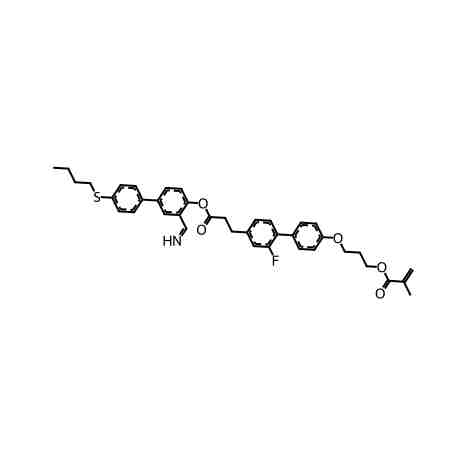 C=C(C)C(=O)OCCCOc1ccc(-c2ccc(CCC(=O)Oc3ccc(-c4ccc(SCCCC)cc4)cc3C=N)cc2F)cc1